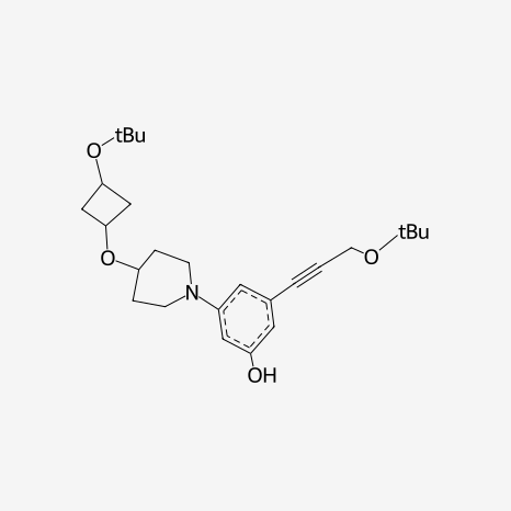 CC(C)(C)OCC#Cc1cc(O)cc(N2CCC(OC3CC(OC(C)(C)C)C3)CC2)c1